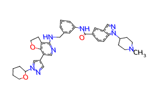 CN1CCC(n2ncc3cc(C(=O)Nc4cccc(CNc5ncc(-c6cnn(C7CCCCO7)c6)c6c5CCO6)c4)ccc32)CC1